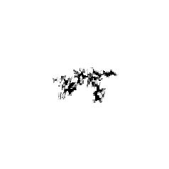 CCCOC(=O)[C@H](C)NP(=O)(NCc1cccnc1)OC[C@H]1O[C@@H](n2ccc3c(O)nc(N)nc32)[C@@](F)(Br)C1O